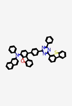 c1ccc(-c2nc(-c3ccc(-c4ccc(N(c5ccccc5)c5ccc6ccccc6c5)c5oc6ccccc6c45)cc3)nc(-c3cccc4c3sc3ccccc34)n2)cc1